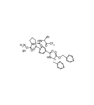 CC(C)C(NC(=O)[C@]1(C(=O)c2ccc(C(=O)N[C@@H](Cc3ccccc3)C(=O)OCc3ccccc3)cc2)CCCN1C(=O)[C@@H](N)C(C)C)C(=O)C(F)(F)F